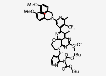 COc1ccc(CN(Cc2ccc(OC)cc2)c2cc(-c3nc4c5c(nc([S+](C)[O-])nc5c3F)N([C@H](C)c3cccnc3N(C(=O)OC(C)(C)C)C(=O)OC(C)(C)C)CCO4)c(C(F)(F)F)c(C)n2)cc1